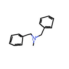 CN(Cc1ccccc1)Cc1ccccc1